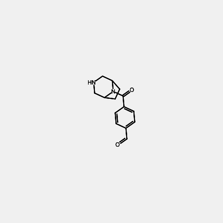 O=Cc1ccc(C(=O)N2C3CCC2CNC3)cc1